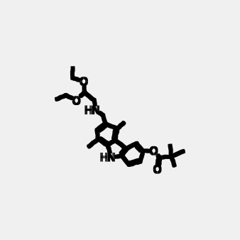 CCOC(CNCc1cc(C)c2[nH]c3ccc(OC(=O)C(C)(C)C)cc3c2c1C)OCC